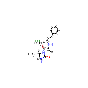 CCOC(=O)[C@H](CCc1ccccc1)N[C@@H](C)C(=O)N1C(=O)NCC1(C)C(=O)O.Cl